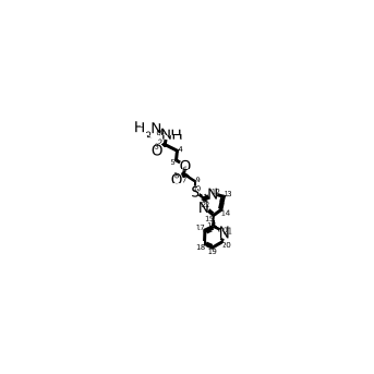 NNC(=O)CCOC(=O)CSc1nccc(-c2ccccn2)n1